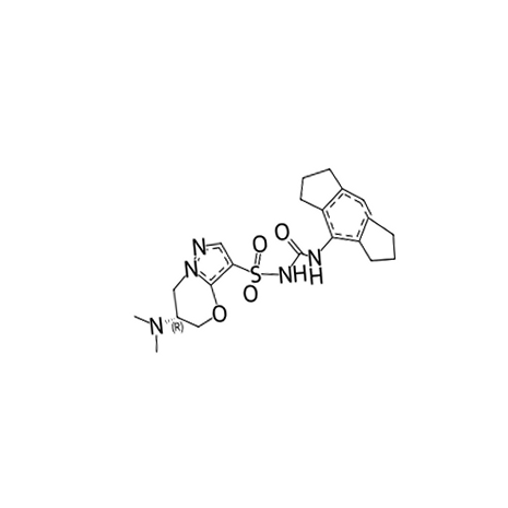 CN(C)[C@H]1COc2c(S(=O)(=O)NC(=O)Nc3c4c(cc5c3CCC5)CCC4)cnn2C1